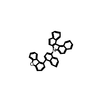 c1ccc2c(c1)ccc1c2c2c3ccccc3ccc2n1-c1ccc(-c2cccc3oc4ccccc4c23)c2ccccc12